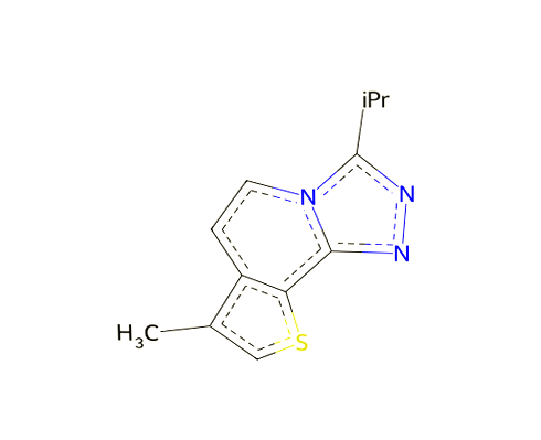 Cc1csc2c1ccn1c(C(C)C)nnc21